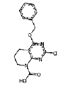 O=C(O)N1CCCc2c(OCc3ccccc3)nc(Cl)nc21